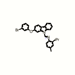 Cc1ccc(/N=C/n2c3ccccc3c3ccc(Oc4cccc(Br)c4)cc32)c(C(C)C)c1